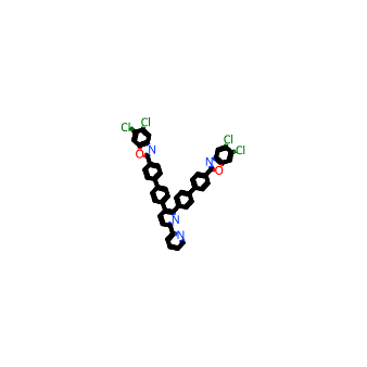 Clc1cc2nc(-c3ccc(-c4ccc(-c5ccc(-c6ccccn6)nc5-c5ccc(-c6ccc(-c7nc8cc(Cl)c(Cl)cc8o7)cc6)cc5)cc4)cc3)oc2cc1Cl